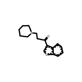 O=C(CCN1CCCCC1)c1coc2ccccc12